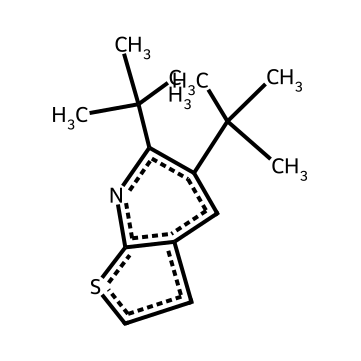 CC(C)(C)c1cc2ccsc2nc1C(C)(C)C